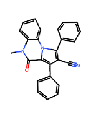 Cn1c(=O)c2c(-c3ccccc3)c(C#N)c(-c3ccccc3)n2c2ccccc21